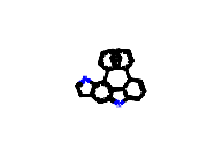 C1=CC(c2ccccc2)C2=c3c(-c4ccccc4)c4c(cc3=NC2=C1)CC=N4